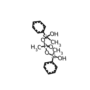 C[Si](O)(OP(C)(=O)O[Si](C)(O)c1ccccc1)c1ccccc1